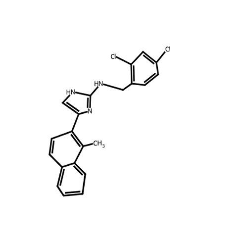 Cc1c(-c2c[nH]c(NCc3ccc(Cl)cc3Cl)n2)ccc2ccccc12